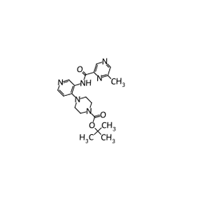 Cc1cncc(C(=O)Nc2cnccc2N2CCN(C(=O)OC(C)(C)C)CC2)n1